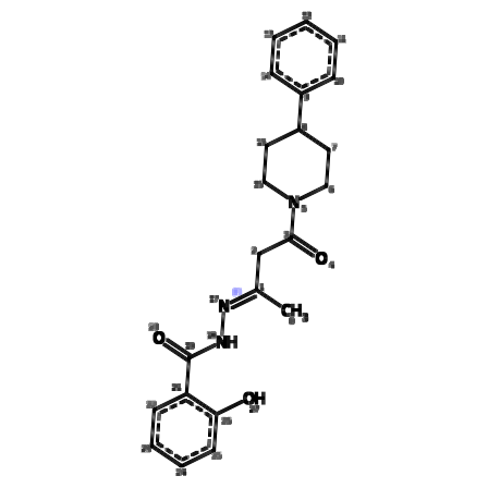 C/C(CC(=O)N1CCC(c2ccccc2)CC1)=N\NC(=O)c1ccccc1O